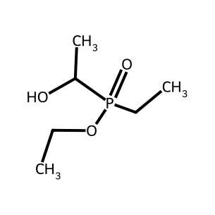 CCOP(=O)(CC)C(C)O